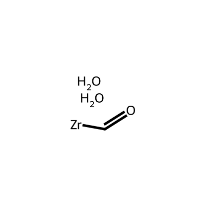 O.O.O=[CH][Zr]